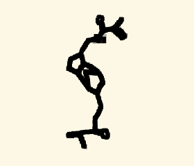 C=C(C)C(=O)CCC1CC2CC1C1CCC(CNC(=O)C(=C)C)C21